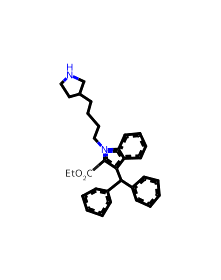 CCOC(=O)c1c(C(c2ccccc2)c2ccccc2)c2ccccc2n1CCCCC1CCNC1